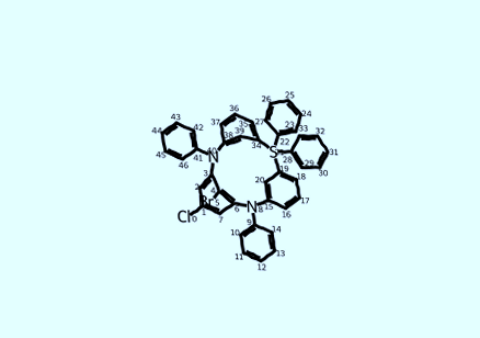 Clc1cc2c(Br)c(c1)N(c1ccccc1)c1cccc(c1)S(c1ccccc1)(c1ccccc1)c1cccc(c1)N2c1ccccc1